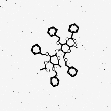 COC1OC(COCc2ccccc2)C(OC2OC(C)C(OCc3ccccc3)C(OC(C)=O)C2OCc2ccccc2)C(OCc2ccccc2)C1OC(=O)c1ccccc1